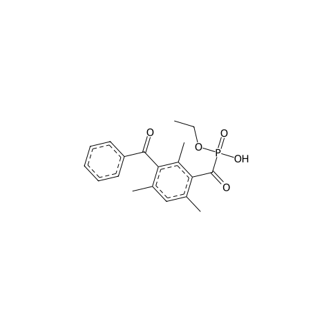 CCOP(=O)(O)C(=O)c1c(C)cc(C)c(C(=O)c2ccccc2)c1C